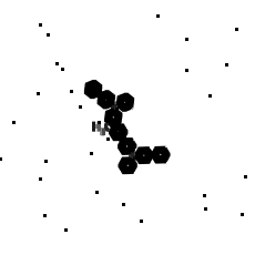 CC1(C2C=CC(C3CCC(N(C4CCCCC4)C4CCC(C5CCCCC5)CC4)CC3)=CC2)CCC(N(C2C=CC(c3ccccc3)CC2)C2CC=CCC2)CC1